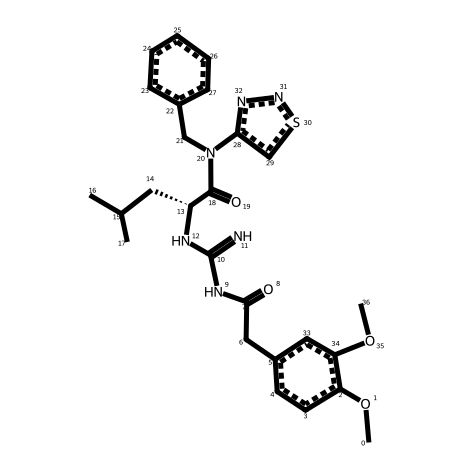 COc1ccc(CC(=O)NC(=N)N[C@H](CC(C)C)C(=O)N(Cc2ccccc2)c2csnn2)cc1OC